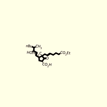 CCCCC(C)C(O)C=CC1C[C@@H](C(=O)O)C(=O)[C@]1(CC=CCCCC(=O)OCC)C(=O)O